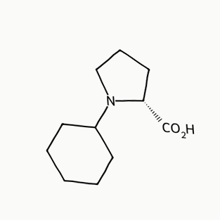 O=C(O)[C@H]1CCCN1C1CCCCC1